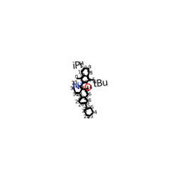 Cc1c2c(c(CC(C)(C)C)c3ccc(C(C)C)cc13)Oc1cc3cc(C4CCCCC4)ccc3c3cc[n+](C)c-2c13